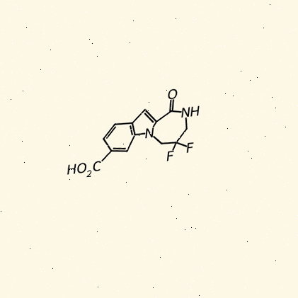 O=C(O)c1ccc2cc3n(c2c1)CC(F)(F)CNC3=O